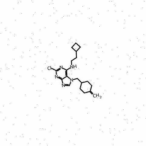 C=C1CCC(Cn2cnc3nc(Cl)nc(NCCC4CCC4)c32)CC1